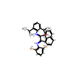 CC(C)c1cccc(C(C)C)c1/N=C1/C(=N/c2c(Br)cccc2Br)c2cccc3cccc1c23